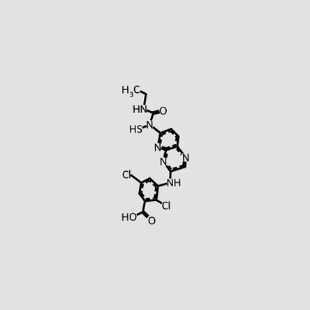 CCNC(=O)N(S)c1ccc2ncc(Nc3cc(Cl)cc(C(=O)O)c3Cl)nc2n1